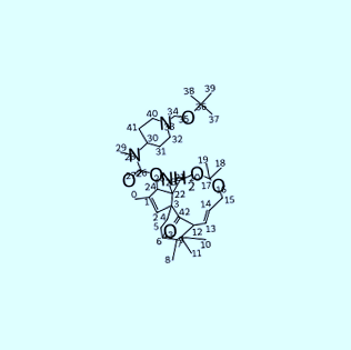 CC1=CC23CCCC(C)C(C)(C)C(/C=C/COC(C)(C)OCC2(N)C1OC(=O)N(C)C1CCN(COC(C)(C)C)CC1)C3=O